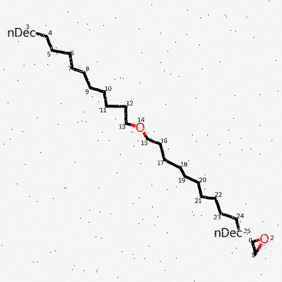 C1CO1.CCCCCCCCCCCCCCCCCCCCOCCCCCCCCCCCCCCCCCCCC